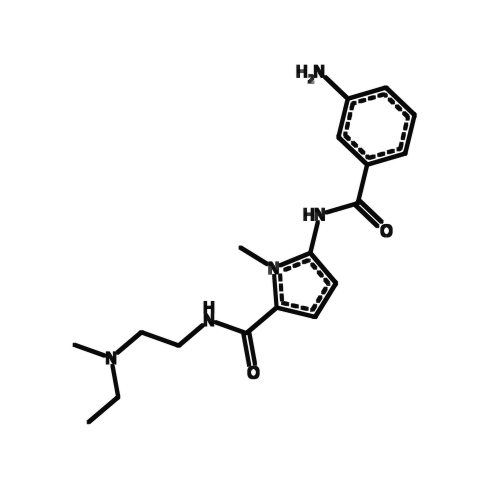 CCN(C)CCNC(=O)c1ccc(NC(=O)c2cccc(N)c2)n1C